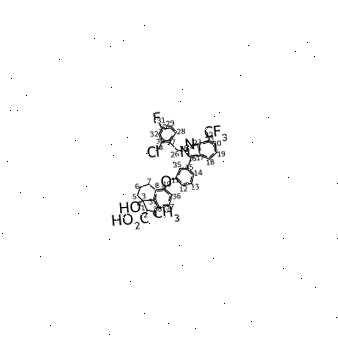 CC(C(=O)O)C1(O)CCCc2c(Oc3cccc(-c4c5cccc(C(F)(F)F)c5nn4Cc4ccc(F)cc4Cl)c3)cccc21